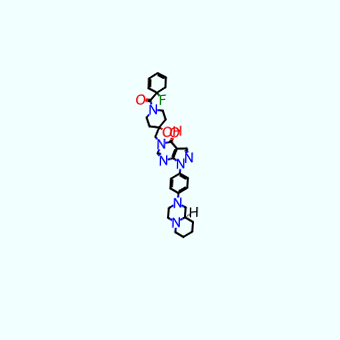 O=C(N1CCC(O)(Cn2cnc3c(cnn3-c3ccc(N4CCN5CCCC[C@@H]5C4)cc3)c2=O)CC1)C1(F)C=CC=CC1